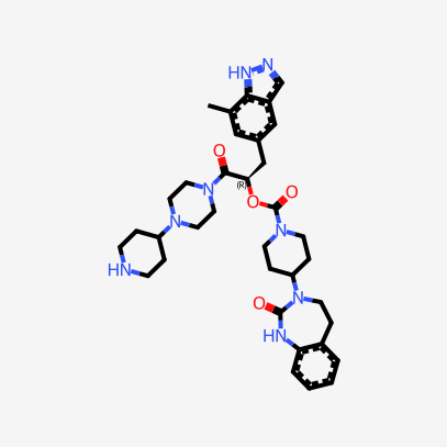 Cc1cc(C[C@@H](OC(=O)N2CCC(N3CCc4ccccc4NC3=O)CC2)C(=O)N2CCN(C3CCNCC3)CC2)cc2cn[nH]c12